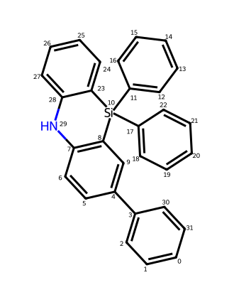 c1ccc(-c2ccc3c(c2)[Si](c2ccccc2)(c2ccccc2)c2ccccc2N3)cc1